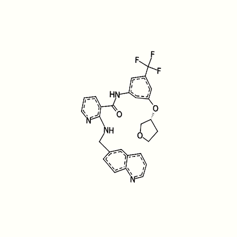 O=C(Nc1cc(O[C@@H]2CCOC2)cc(C(F)(F)F)c1)c1cccnc1NCc1ccc2ncccc2c1